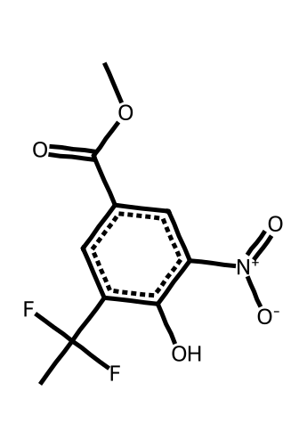 COC(=O)c1cc([N+](=O)[O-])c(O)c(C(C)(F)F)c1